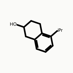 CC(C)c1cccc2c1CCC(O)C2